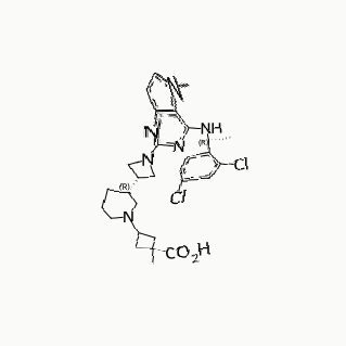 C[C@@H](Nc1nc(N2CC([C@H]3CCCN(C4CC(C)(C(=O)O)C4)C3)C2)nc2ccn(C)c12)c1ccc(Cl)cc1Cl